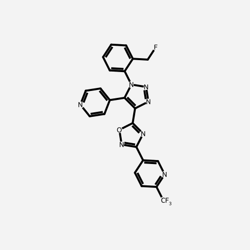 FCc1ccccc1-n1nnc(-c2nc(-c3ccc(C(F)(F)F)nc3)no2)c1-c1ccncc1